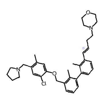 Cc1cc(OCc2cccc(-c3cccc(/C=C/CCN4CCOCC4)c3C)c2C)c(Cl)cc1CN1CCCC1